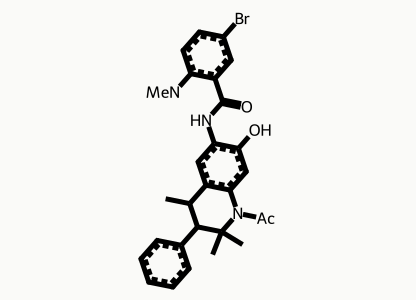 CNc1ccc(Br)cc1C(=O)Nc1cc2c(cc1O)N(C(C)=O)C(C)(C)C(c1ccccc1)C2C